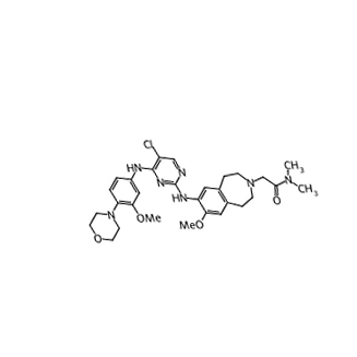 COc1cc2c(cc1Nc1ncc(Cl)c(Nc3ccc(N4CCOCC4)c(OC)c3)n1)CCN(CC(=O)N(C)C)CC2